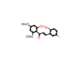 COc1cc(O)c(C(=O)/C=C/c2cc(F)ccc2Br)c(OC)c1